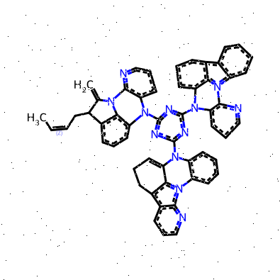 C=C1C(C/C=C\C)c2cccc3c2N1c1ncccc1N3c1nc(N2C3=CCCc4c3n(c3ncccc43)-c3ccccc32)nc(N2c3cccnc3-n3c4ccccc4c4cccc2c43)n1